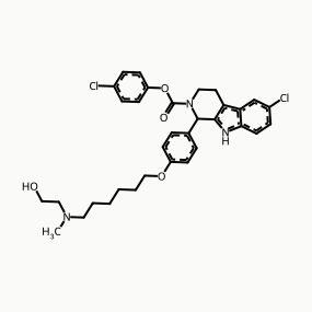 CN(CCO)CCCCCCOc1ccc(C2c3[nH]c4ccc(Cl)cc4c3CCN2C(=O)Oc2ccc(Cl)cc2)cc1